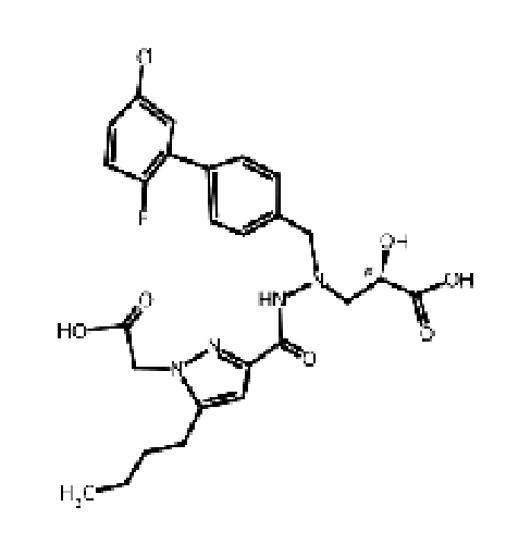 CCCCc1cc(C(=O)NN(Cc2ccc(-c3cc(Cl)ccc3F)cc2)C[C@@H](O)C(=O)O)nn1CC(=O)O